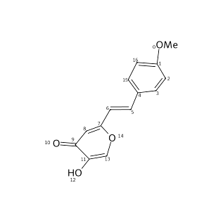 COc1ccc(C=Cc2cc(=O)c(O)co2)cc1